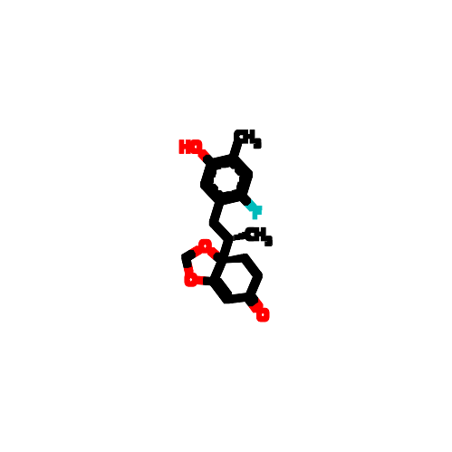 Cc1cc(F)c(C[C@H](C)[C@]23CCC(=O)C=C2OCO3)cc1O